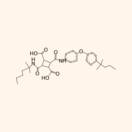 CCCCC(C)(C)NC(=O)C1C(C(=O)O)C(C(=O)Nc2ccc(Oc3ccc(C(C)(C)CCC)cc3)cc2)C1C(=O)O